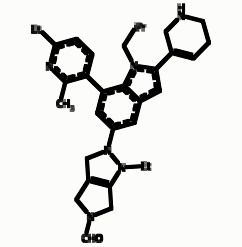 CCc1ccc(-c2cc(N3CC4=C(CN(C=O)C4)N3CC)cc3cc(C4=CCCNC4)n(CC(C)C)c23)c(C)n1